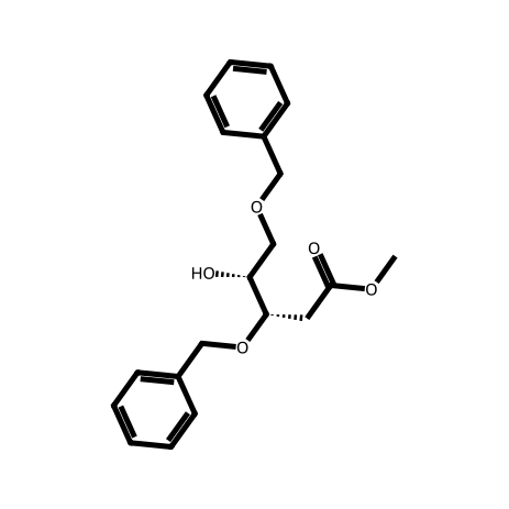 COC(=O)C[C@H](OCc1ccccc1)[C@H](O)COCc1ccccc1